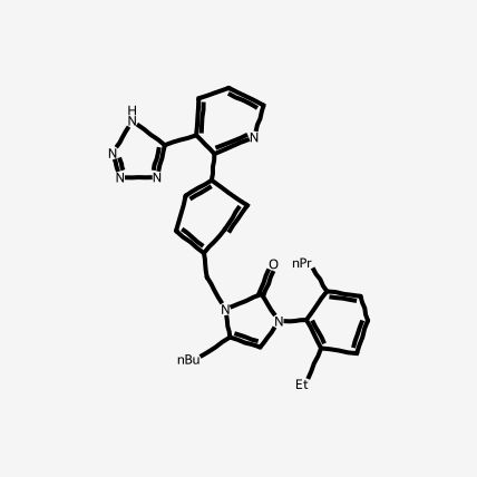 CCCCc1cn(-c2c(CC)cccc2CCC)c(=O)n1Cc1ccc(-c2ncccc2-c2nnn[nH]2)cc1